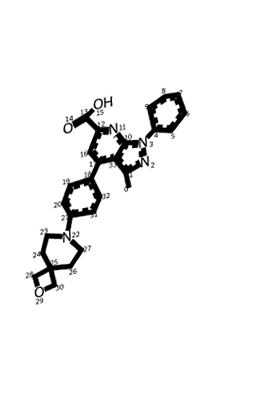 Cc1nn(-c2ccccc2)c2nc(C(=O)O)cc(-c3ccc(N4CCC5(CC4)COC5)cc3)c12